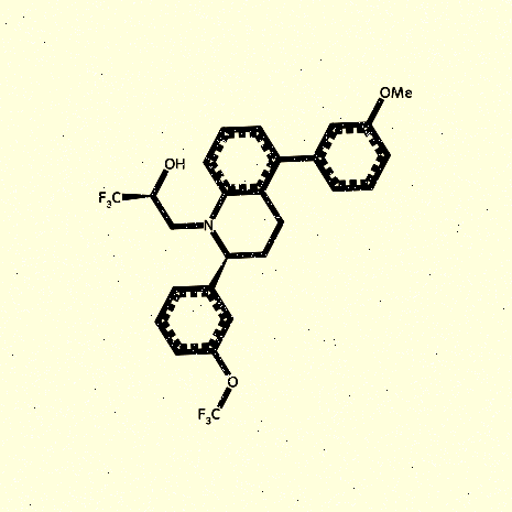 COc1cccc(-c2cccc3c2CC[C@@H](c2cccc(OC(F)(F)F)c2)N3C[C@H](O)C(F)(F)F)c1